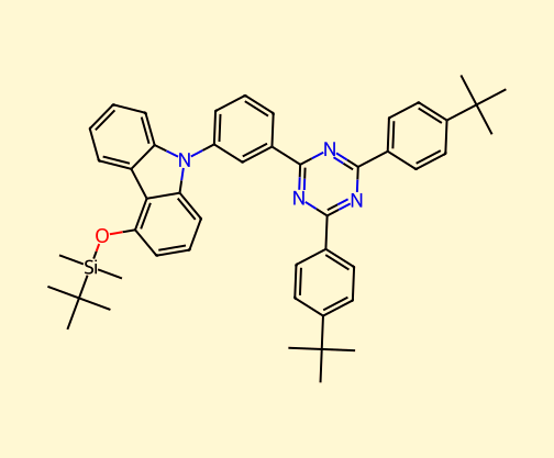 CC(C)(C)c1ccc(-c2nc(-c3ccc(C(C)(C)C)cc3)nc(-c3cccc(-n4c5ccccc5c5c(O[Si](C)(C)C(C)(C)C)cccc54)c3)n2)cc1